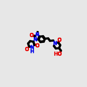 Cn1c(=O)n(C2CCC(=O)NC2=O)c2ccc(CCCN3CCC(CO)CC3=O)cc21